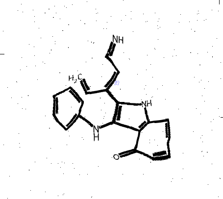 C=C/C(=C\C=N)c1[nH]c2ccccc(=O)c2c1Nc1ccccc1